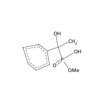 [CH2]C(O)(c1ccccc1)P(=O)(O)OC